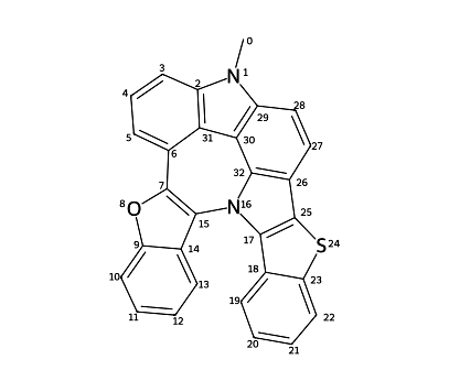 Cn1c2cccc3c4oc5ccccc5c4n4c5c6ccccc6sc5c5ccc1c(c32)c54